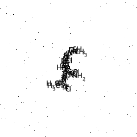 CN(C)CC(=O)N1CCC(F)(COc2ncc(S(=O)(=O)NC(=O)c3ccc(N4CCN(CC5=C(c6ccc(Cl)cc6)CC(C)(C)CC5)CC4)cc3Oc3cnc(N)c(Cl)c3)cc2Cl)CC1